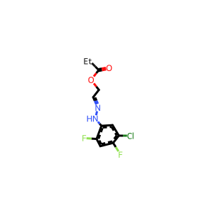 CCC(=O)OC/C=N/Nc1cc(Cl)c(F)cc1F